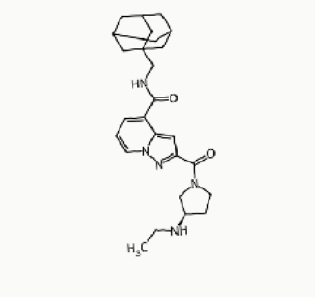 CCN[C@@H]1CCN(C(=O)c2cc3c(C(=O)NCC45CC6CC(CC(C6)C4)C5)cccn3n2)C1